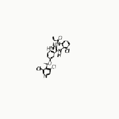 C=CC(=O)Nc1cccc(Cl)c1Nc1n[nH]c2ccc(OC(C)c3c(Cl)cncc3Cl)cc12